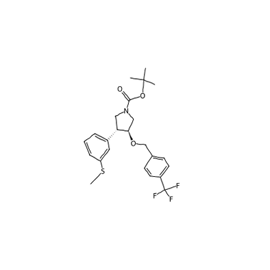 CSc1cccc([C@@H]2CN(C(=O)OC(C)(C)C)C[C@H]2OCc2ccc(C(F)(F)F)cc2)c1